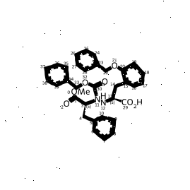 COC(=O)[C@H](Cc1ccccc1)N(N[C@@H](Cc1ccccc1OCc1ccccc1)C(=O)O)C(=O)OCc1ccccc1